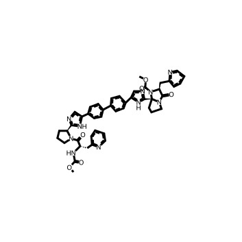 COC(=O)N[C@@H](Cc1ccccn1)C(=O)N1CCC[C@H]1c1ncc(-c2ccc(-c3ccc(-c4cnc([C@]56CCCN5C(=O)[C@H](Cc5ccccn5)N6C(=O)OC)[nH]4)cc3)cc2)[nH]1